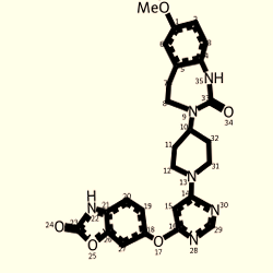 COc1ccc2c(c1)CCN(C1CCN(c3cc(Oc4ccc5[nH]c(=O)oc5c4)ncn3)CC1)C(=O)N2